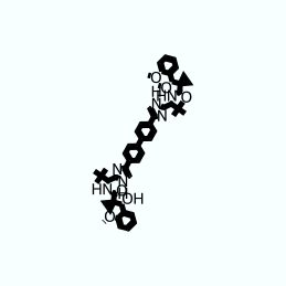 COc1ccccc1C(O)C1(C(=O)N[C@H](c2nc(-c3ccc(-c4ccc(-c5c[nH]c([C@@H](NC(=O)C6(C(OC)c7ccccc7OC)CC6)C(C)(C)C)n5)cc4)cc3)c[nH]2)C(C)(C)C)CC1